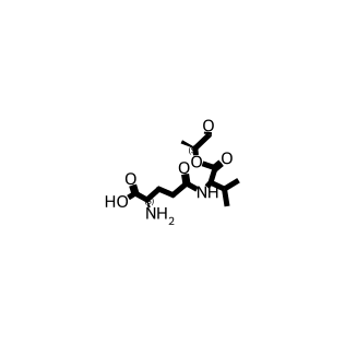 CC(C)C(NC(=O)CC[C@H](N)C(=O)O)C(=O)O[C@@H](C)C=O